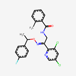 CC(ON=C(CNC(=O)c1ccccc1C(F)(F)F)c1ncc(Cl)cc1Cl)c1ccc(F)cc1